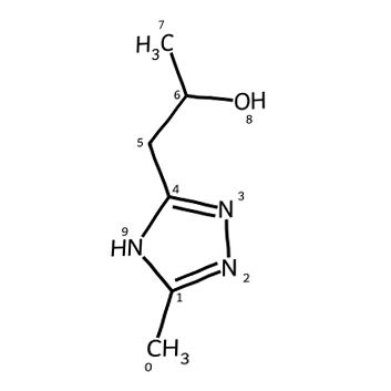 Cc1nnc(CC(C)O)[nH]1